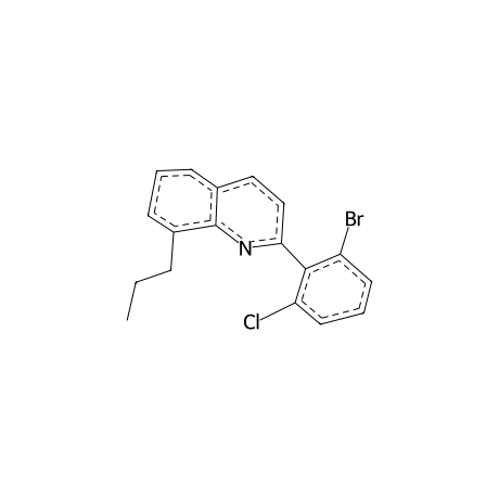 CCCc1cccc2ccc(-c3c(Cl)cccc3Br)nc12